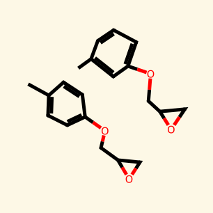 Cc1ccc(OCC2CO2)cc1.Cc1cccc(OCC2CO2)c1